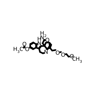 COCCOCOCCC1CC2CN3CCc4c([nH]c5ccc(OC(C)=O)cc45)C(CC(N)=O)(C2)C13